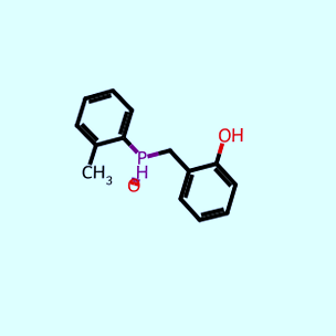 Cc1ccccc1[PH](=O)Cc1ccccc1O